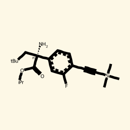 CC(C)OC(=O)[C@@](N)(CC(C)(C)C)c1ccc(C#C[Si](C)(C)C)c(F)c1